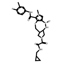 Cc1cc(NC(=O)c2c3c(cn2C)[S+]([O-])NC2CN(C(=O)C(=O)NCC4CC4)CC2CS3)ccc1F